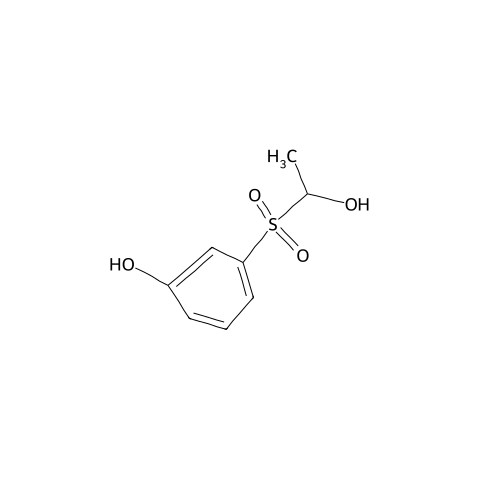 CC(O)S(=O)(=O)c1cccc(O)c1